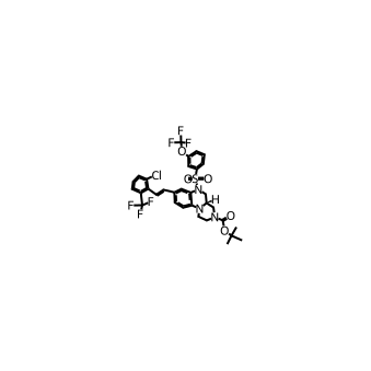 CC(C)(C)OC(=O)N1CCN2c3ccc(/C=C/c4c(Cl)cccc4C(F)(F)F)cc3N(S(=O)(=O)c3cccc(OC(F)(F)F)c3)C[C@@H]2C1